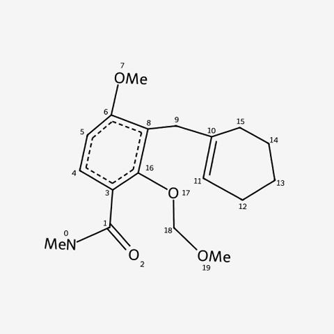 CNC(=O)c1ccc(OC)c(CC2=CCCCC2)c1OCOC